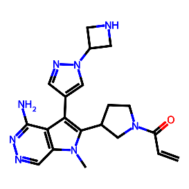 C=CC(=O)N1CCC(c2c(-c3cnn(C4CNC4)c3)c3c(N)nncc3n2C)C1